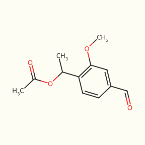 COc1cc(C=O)ccc1C(C)OC(C)=O